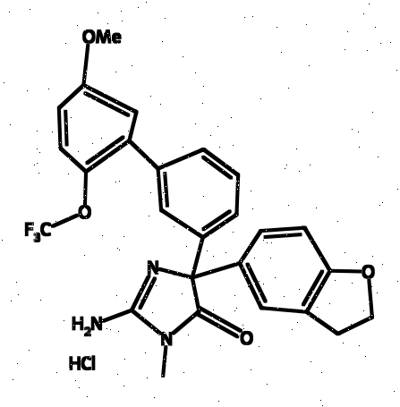 COc1ccc(OC(F)(F)F)c(-c2cccc(C3(c4ccc5c(c4)CCO5)N=C(N)N(C)C3=O)c2)c1.Cl